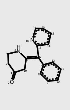 O=C1CCNC(=C(c2ccccc2)c2ccccn2)C1